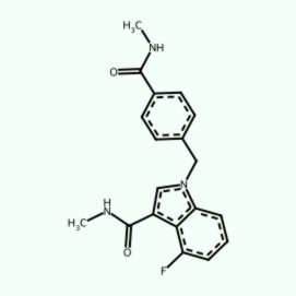 CNC(=O)c1ccc(Cn2cc(C(=O)NC)c3c(F)cccc32)cc1